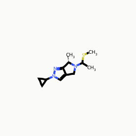 CSC(C)N1Cc2cn(C3CC3)nc2[C@@H]1C